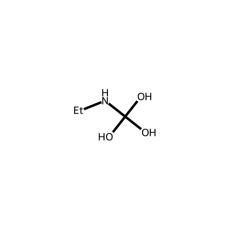 CCNC(O)(O)O